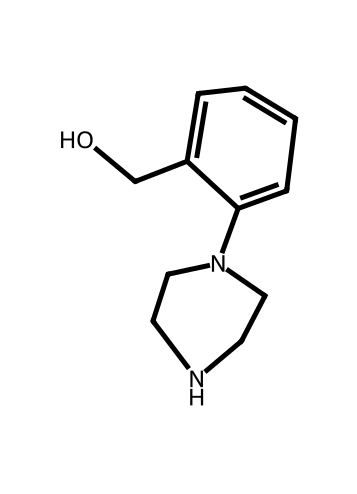 OCc1ccccc1N1CCNCC1